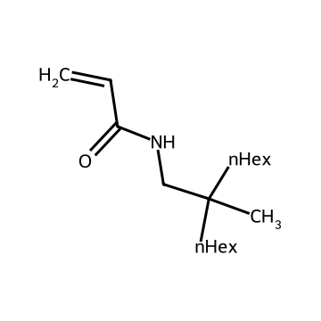 C=CC(=O)NCC(C)(CCCCCC)CCCCCC